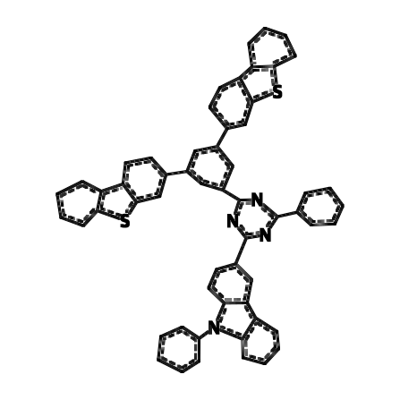 c1ccc(-c2nc(-c3cc(-c4ccc5c(c4)sc4ccccc45)cc(-c4ccc5c(c4)sc4ccccc45)c3)nc(-c3ccc4c(c3)c3ccccc3n4-c3ccccc3)n2)cc1